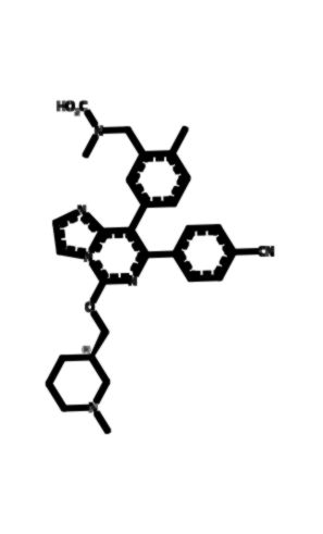 Cc1ccc(-c2c(-c3ccc(C#N)cc3)nc(OC[C@@H]3CCCN(C)C3)n3ccnc23)cc1CN(C)C(=O)O